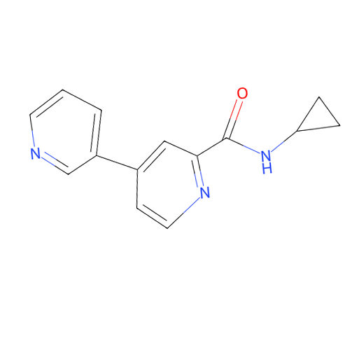 O=C(NC1CC1)c1cc(-c2cccnc2)ccn1